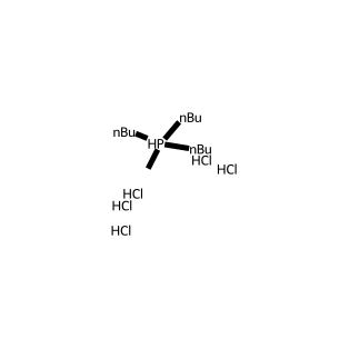 CCCC[PH](C)(CCCC)CCCC.Cl.Cl.Cl.Cl.Cl